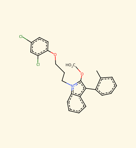 Cc1ccccc1-c1c(OC(=O)O)n(CCCOc2ccc(Cl)cc2Cl)c2ccccc12